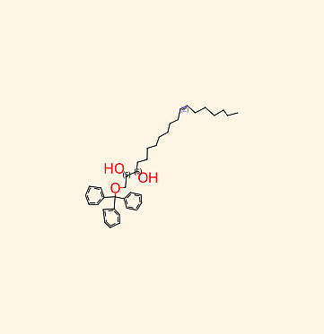 CCCCCC/C=C\CCCCCCCC[C@H](O)[C@@H](O)COC(c1ccccc1)(c1ccccc1)c1ccccc1